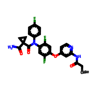 COCC(=O)Nc1cc(Oc2cc(F)c(N(C(=O)C3(C(N)=O)CC3)c3ccc(F)cc3)cc2F)ccn1